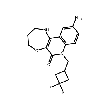 Nc1ccc2c(c1)c1c(c(=O)n2CC2CC(F)(F)C2)OCCCN1